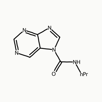 CCCNC(=O)n1cnc2ncncc21